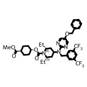 CC[C@@H]1CC(N(Cc2cc(C(F)(F)F)cc(C(F)(F)F)c2)c2ncc(OCc3ccccc3)cn2)C[C@H](CC)N1C(=O)O[C@H]1CC[C@H](C(=O)OC)CC1